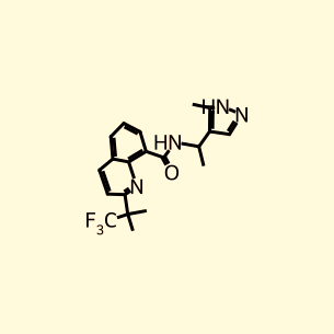 Cc1[nH]ncc1C(C)NC(=O)c1cccc2ccc(C(C)(C)C(F)(F)F)nc12